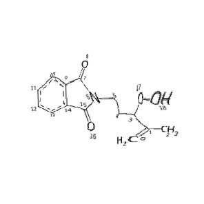 C=C(C)C(CCN1C(=O)c2ccccc2C1=O)OO